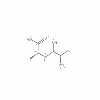 CC(N)C(O)N[C@@H](C)C(=O)O